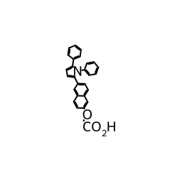 O=C(O)COc1ccc2cc(-c3ccc(-c4ccccc4)n3-c3ccccc3)ccc2c1